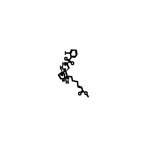 COC(=O)C=CCCC[C@H]1[C@H]2CC[C@H](C2)[C@@H]1CNS(=O)(=O)c1ccccc1I